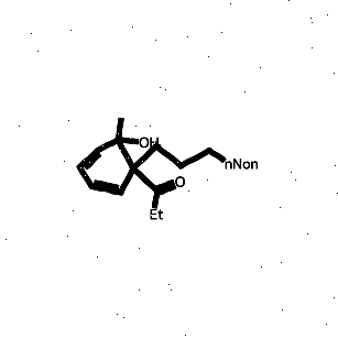 CCCCCCCCCCCCC1(C(=O)CC)C=CC=CC1(C)O